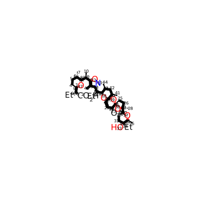 CC[C@@H](C(=O)O)[C@H]1CC[C@H](C)[C@H]([C@@H](C)c2onc([C@H](CC)[C@H]3O[C@]4(C=C[C@@H](OC(C)=O)[C@]5(CC[C@@](C)([C@H]6CC[C@](O)(CC)[C@H](C)O6)O5)O4)[C@H](C)C[C@@H]3C)c2C)O1